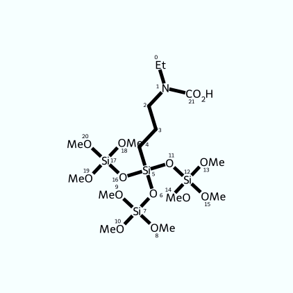 CCN(CCC[Si](O[Si](OC)(OC)OC)(O[Si](OC)(OC)OC)O[Si](OC)(OC)OC)C(=O)O